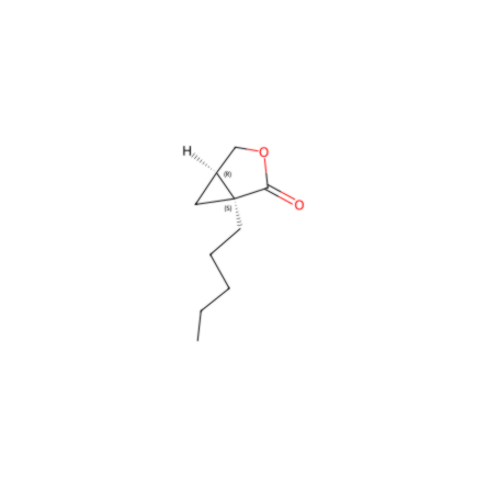 CCCCC[C@]12C[C@H]1COC2=O